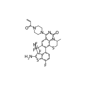 C=CC(=O)N1CCN(c2nc(=O)n3c4c(c(-c5ccc(F)c6sc(N)c(C#N)c56)c(C(F)(F)F)cc24)SCC3C)CC1